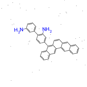 Nc1cccc(-c2ccc(-c3c4ccccc4cc4c3ccc3cc5ccccc5cc34)cc2N)c1